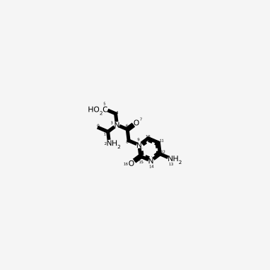 CC(N)N(CC(=O)O)C(=O)Cn1ccc(N)nc1=O